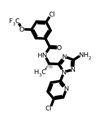 C[C@H](NC(=O)c1cc(Cl)cc(OC(F)(F)F)c1)c1nc(N)nn1-c1ccc(Cl)cn1